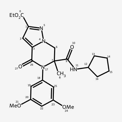 CCOC(=O)c1cc2n(n1)CC(C)(C(=O)NC1CCCC1)N(c1cc(OC)cc(OC)c1)C2=O